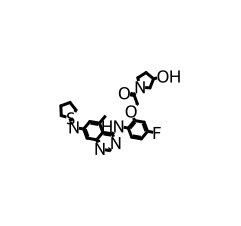 Cc1cc(N=S2CCCC2)cc2ncnc(Nc3ccc(F)cc3OCC(=O)N3CCC(O)C3)c12